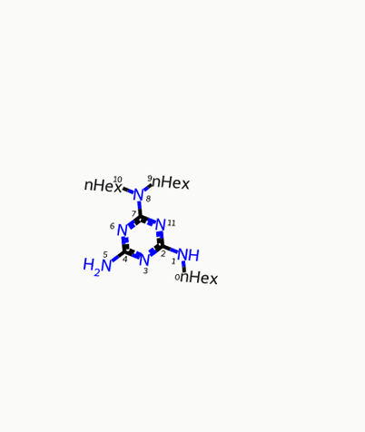 CCCCCCNc1nc(N)nc(N(CCCCCC)CCCCCC)n1